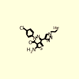 Nc1scc2c(-c3cn(CC[18F])nn3)nn(-c3ccc(Cl)cc3)c(=O)c12